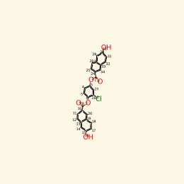 O=C(Oc1ccc(OC(=O)c2ccc3cc(O)ccc3c2)c(Cl)c1)c1ccc2cc(O)ccc2c1